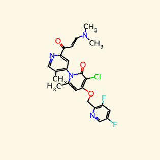 Cc1cnc(C(=O)/C=C/N(C)C)cc1-n1c(C)cc(OCc2ncc(F)cc2F)c(Cl)c1=O